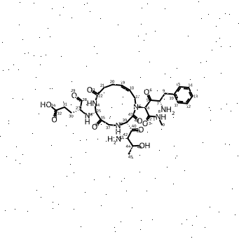 CNC(=O)[C@H](C(=O)[C@@H](N)Cc1ccccc1)N1CC=CCCC(=O)N[C@@H](N[C@@H](C=O)CCC(=O)O)C(=O)CN[C@@H](C(=O)[C@@H](N)[C@H](C)O)C1=O